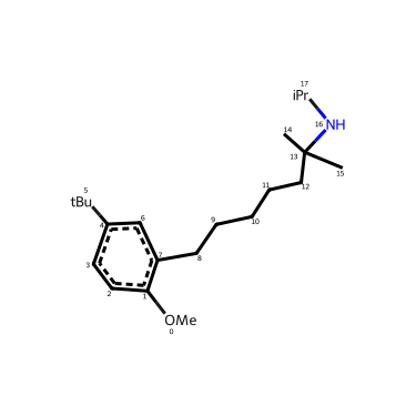 COc1ccc(C(C)(C)C)cc1CCCCCC(C)(C)NC(C)C